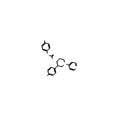 COc1ccc(C2CN(c3ccncc3)CC[C@H]2NC(=O)Nc2ccc(Cl)cc2)cc1